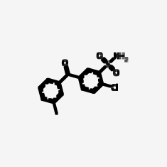 Cc1cccc(C(=O)c2ccc(Cl)c(S(N)(=O)=O)c2)c1